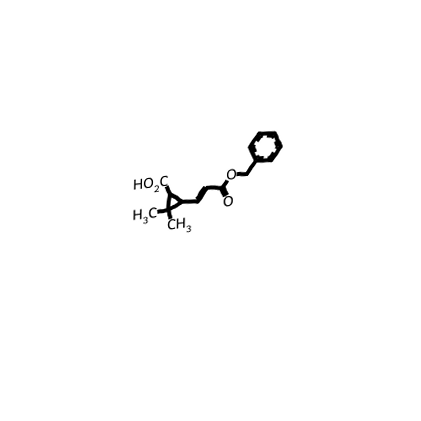 CC1(C)C(C=CC(=O)OCc2ccccc2)C1C(=O)O